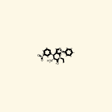 CCN1C(=O)[C@H](N)[C@@H](c2cccc([N+](=O)[O-])c2)c2cnn(-c3ccccc3)c21